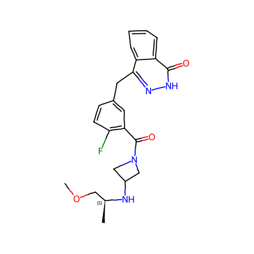 COC[C@H](C)NC1CN(C(=O)c2cc(Cc3n[nH]c(=O)c4ccccc34)ccc2F)C1